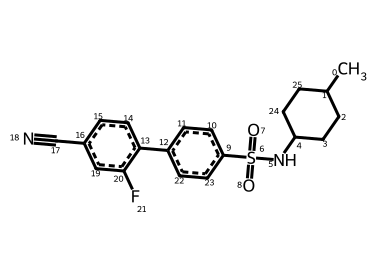 CC1CCC(NS(=O)(=O)c2ccc(-c3ccc(C#N)cc3F)cc2)CC1